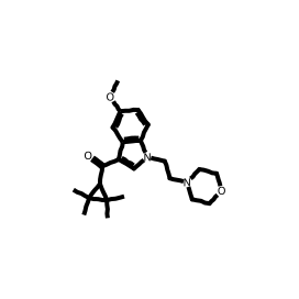 COc1ccc2c(c1)c(C(=O)C1C(C)(C)C1(C)C)cn2CCN1CCOCC1